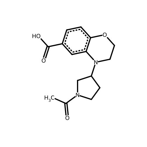 CC(=O)N1CCC(N2CCOc3ccc(C(=O)O)cc32)C1